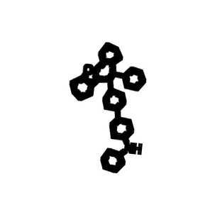 c1ccc(Nc2ccc(-c3ccc(-c4c(-c5ccccc5)c5ccccc5c5oc6ccccc6c45)cc3)cc2)cc1